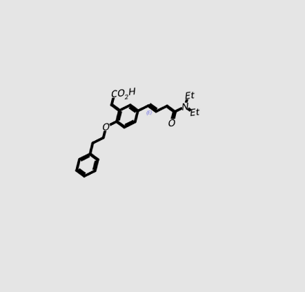 CCN(CC)C(=O)C/C=C/c1ccc(OCCc2ccccc2)c(CC(=O)O)c1